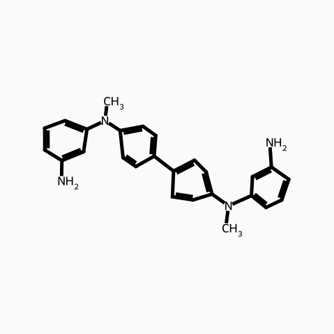 CN(c1ccc(-c2ccc(N(C)c3cccc(N)c3)cc2)cc1)c1cccc(N)c1